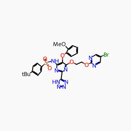 COc1ccccc1Oc1c(NS(=O)(=O)c2ccc(C(C)(C)C)cc2)nc(-c2nnn[nH]2)nc1OCCOc1ncc(Br)cn1